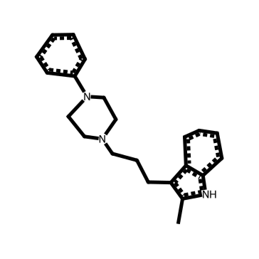 Cc1[nH]c2ccccc2c1CCCN1CCN(c2ccccc2)CC1